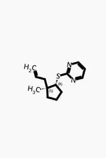 C=CC[C@]1(C)CCC[C@H]1Sc1ncccn1